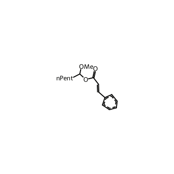 CCCCCC(OC)OC(=O)C=Cc1ccccc1